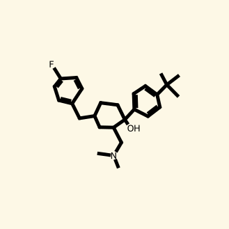 CN(C)CC1CC(Cc2ccc(F)cc2)CCC1(O)c1ccc(C(C)(C)C)cc1